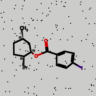 CC(C)[C@H]1CC[C@H](C)C[C@@H]1OC(=O)c1ccc(I)cc1